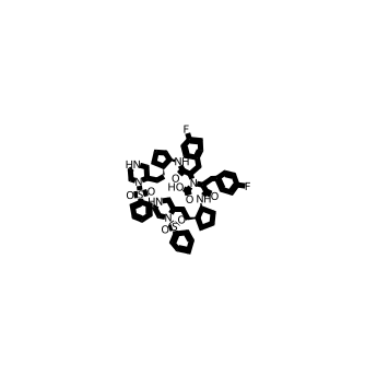 O=C(N[C@@H]1CCC[C@H]1CCC1CNCCN1S(=O)(=O)c1ccccc1)C(Cc1ccc(F)cc1)N(C(=O)O)C(Cc1ccc(F)cc1)C(=O)N[C@@H]1CCC[C@H]1CCC1CNCCN1S(=O)(=O)c1ccccc1